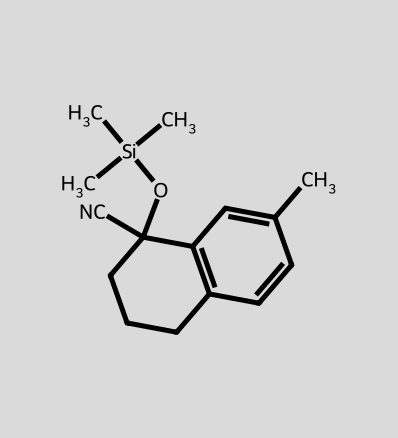 Cc1ccc2c(c1)C(C#N)(O[Si](C)(C)C)CCC2